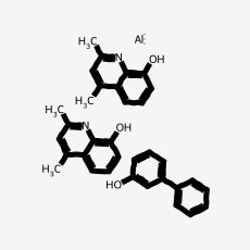 Cc1cc(C)c2cccc(O)c2n1.Cc1cc(C)c2cccc(O)c2n1.Oc1cccc(-c2ccccc2)c1.[Al]